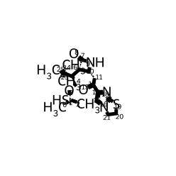 C[SiH](C)OC[C@H]([C@@H]1C(=O)N[C@@H]1CC(=O)c1cn2c(n1)SCC2)C(C)(C)C